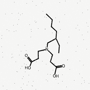 CCCCC(CC)CN(CCC(=O)O)CCC(=O)O